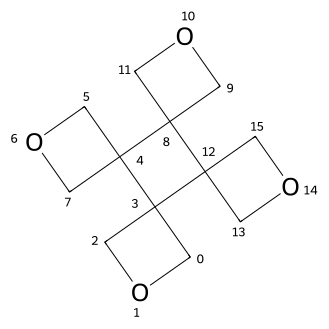 C1OCC12C1(COC1)C1(COC1)C21COC1